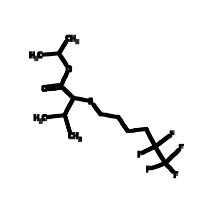 CC(C)OC(=O)C(SCCCCC(F)(F)C(F)(F)F)C(C)C